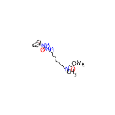 COC(=O)CN(C)CCCCCCCCCNC(=O)NC12CC3CC(CC(C3)C1)C2